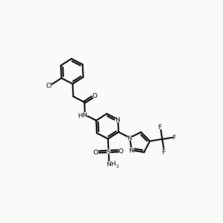 NS(=O)(=O)c1cc(NC(=O)Cc2ccccc2Cl)cnc1-n1cc(C(F)(F)F)cn1